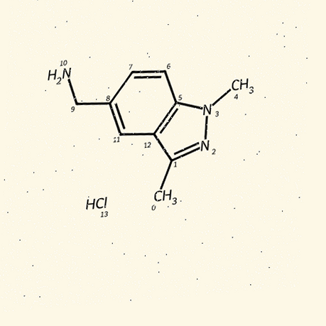 Cc1nn(C)c2ccc(CN)cc12.Cl